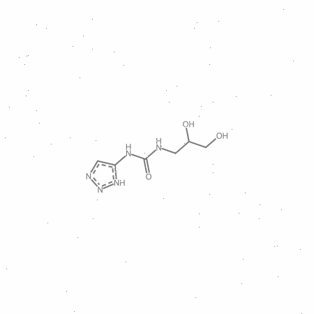 O=C(NCC(O)CO)Nc1cnn[nH]1